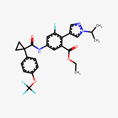 CCOC(=O)c1cc(NC(=O)C2(c3ccc(OC(F)(F)F)cc3)CC2)cc(F)c1-c1cnn(C(C)C)c1